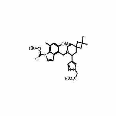 CCOC(=O)Cn1cc(C2CC3(CCN2Cc2c(OC)cc(C)c4c2ccn4C(=O)OC(C)(C)C)CC(F)(F)C3)cn1